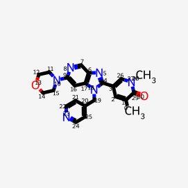 Cc1cc(-c2nc3cnc(N4CCOCC4)cc3n2Cc2ccncc2)cn(C)c1=O